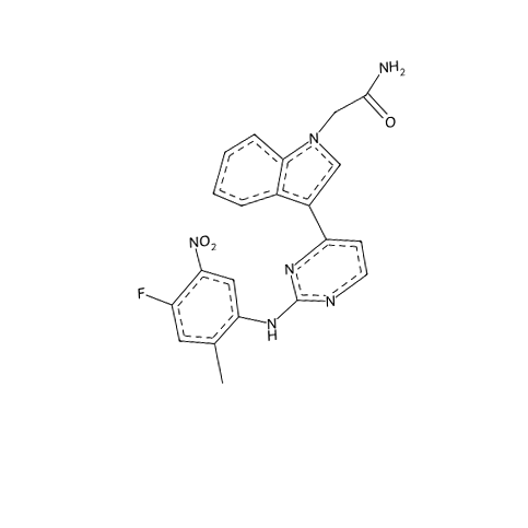 Cc1cc(F)c([N+](=O)[O-])cc1Nc1nccc(-c2cn(CC(N)=O)c3ccccc23)n1